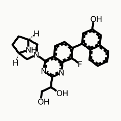 OCC(O)c1nc(N2C[C@H]3CC[C@@H](C2)N3)c2ccc(-c3cc(O)cc4ccccc34)c(F)c2n1